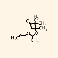 C=CCOC(C)OC1(C)CC(=O)C1(C)C